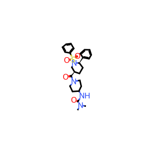 CN(C)C(=O)NC1CCN(C(=O)[C@@H]2CC[C@H](c3ccccc3)N(S(=O)(=O)c3ccccc3)C2)CC1